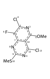 COc1nc(Cl)c(F)c2nc(SC)nc(Cl)c12